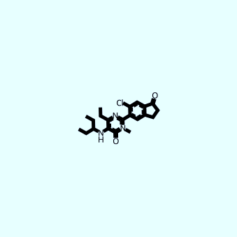 CCc1nc(-c2cc3c(cc2Cl)C(=O)CC3)n(C)c(=O)c1NC(CC)CC